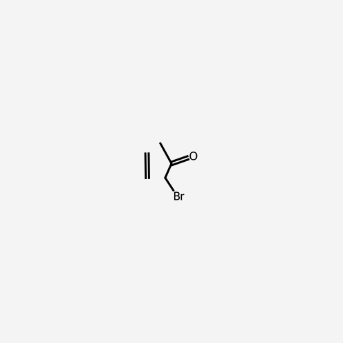 C=C.CC(=O)CBr